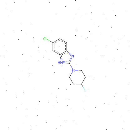 FC1CCN(c2nc3ccc(Cl)cc3[nH]2)CC1